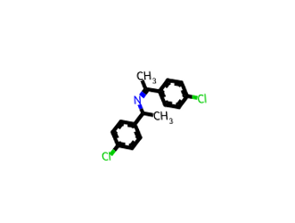 CC(=NC(C)c1ccc(Cl)cc1)c1ccc(Cl)cc1